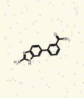 NC(=O)c1cccc(-c2ccc3nc(N)[nH]c3c2)c1